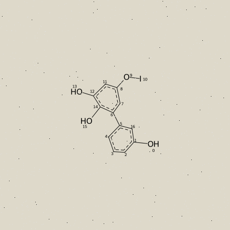 Oc1cccc(-c2cc(OI)cc(O)c2O)c1